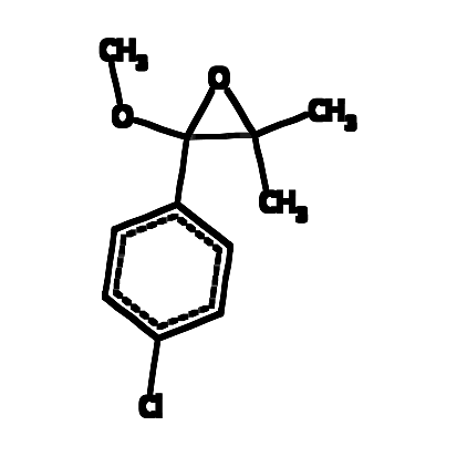 COC1(c2ccc(Cl)cc2)OC1(C)C